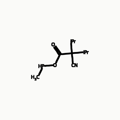 CPOC(=O)C(C#N)(C(C)C)C(C)C